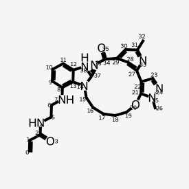 C=CC(=O)NCCNc1cccc2c1N1CCCCCOc3c(cnn3C)-c3cc(cc(C)n3)C(=O)/N=C/1N2